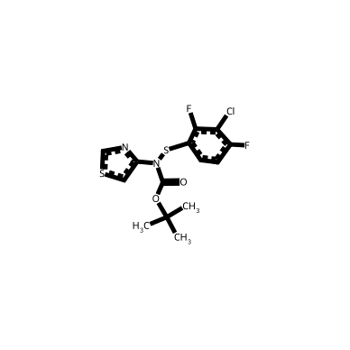 CC(C)(C)OC(=O)N(Sc1ccc(F)c(Cl)c1F)c1cscn1